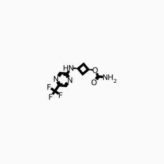 NC(=O)O[C@H]1C[C@@H](Nc2cnc(C(F)(F)F)cn2)C1